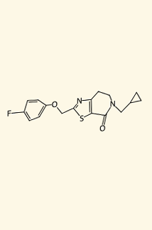 O=C1c2sc(COc3ccc(F)cc3)nc2CCN1CC1CC1